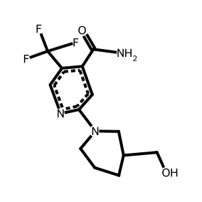 NC(=O)c1cc(N2CCCC(CO)C2)ncc1C(F)(F)F